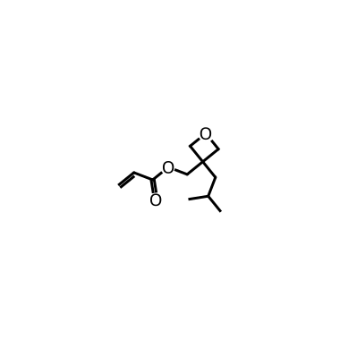 C=CC(=O)OCC1(CC(C)C)COC1